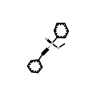 CO[P@](=O)(C#Cc1ccccc1)c1ccccc1